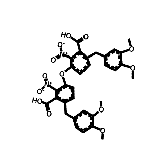 COc1ccc(Cc2ccc(Oc3ccc(Cc4ccc(OC)c(OC)c4)c(C(=O)O)c3[N+](=O)[O-])c([N+](=O)[O-])c2C(=O)O)cc1OC